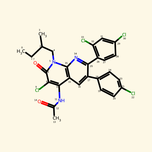 CCC(C)Cn1c(=O)c(Cl)c(NC(C)=O)c2cc(-c3ccc(Cl)cc3)c(-c3ccc(Cl)cc3Cl)nc21